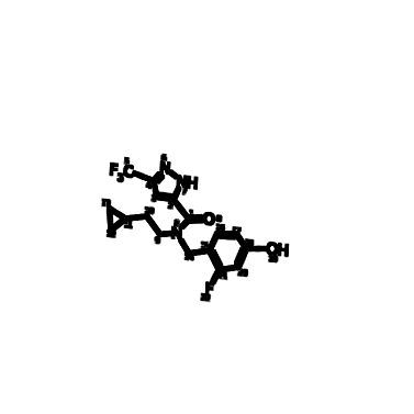 O=C(c1cc(C(F)(F)F)n[nH]1)N(CCC1CC1)Cc1ccc(O)cc1F